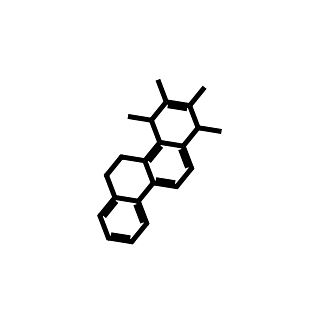 CC1=C(C)C(C)c2c(ccc3c2CCc2ccccc2-3)C1C